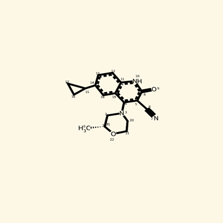 C[C@@H]1CN(c2c(C#N)c(=O)[nH]c3ccc(C4CC4)cc23)CCO1